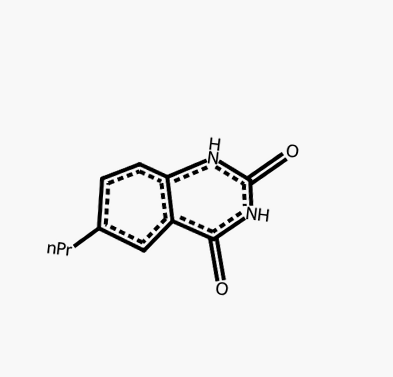 CCCc1ccc2[nH]c(=O)[nH]c(=O)c2c1